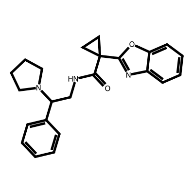 O=C(NCC(c1ccccc1)N1CCCC1)C1(c2nc3ccccc3o2)CC1